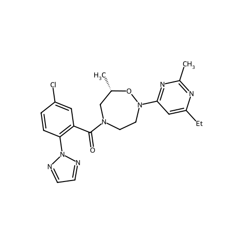 CCc1cc(N2CCN(C(=O)c3cc(Cl)ccc3-n3nccn3)C[C@H](C)O2)nc(C)n1